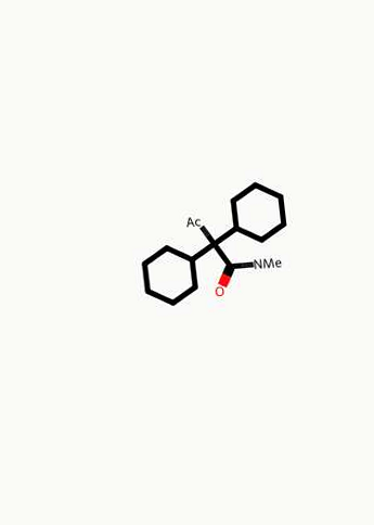 CNC(=O)C(C(C)=O)(C1CCCCC1)C1CCCCC1